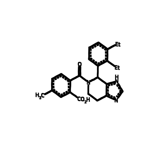 CCc1cccc(C2c3[nH]cnc3CCN2C(=O)c2ccc(C)cc2C(=O)O)c1CC